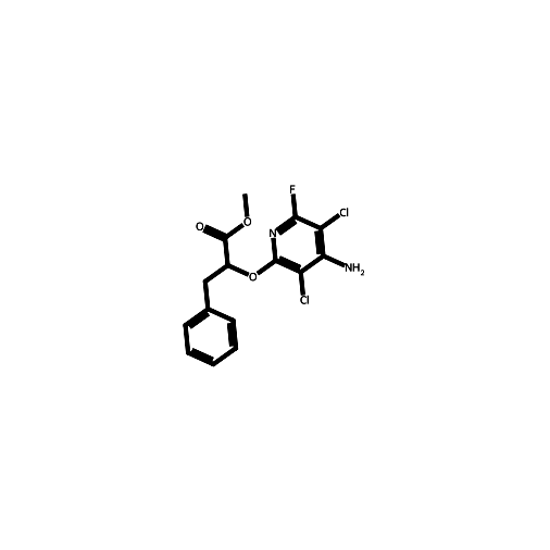 COC(=O)C(Cc1ccccc1)Oc1nc(F)c(Cl)c(N)c1Cl